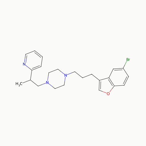 CC(CN1CCN(CCCc2coc3ccc(Br)cc23)CC1)c1ccccn1